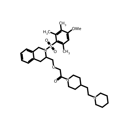 COc1cc(C)c(S(=O)(=O)N2Cc3ccccc3CC2COCC(=O)N2CCC(CCN3CCCCC3)CC2)c(C)c1C